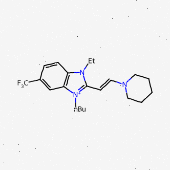 CCCC[n+]1c(/C=C/N2CCCCC2)n(CC)c2ccc(C(F)(F)F)cc21